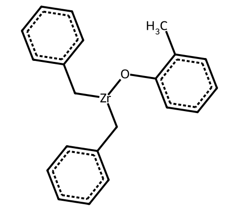 Cc1ccccc1[O][Zr]([CH2]c1ccccc1)[CH2]c1ccccc1